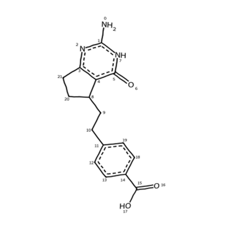 Nc1nc2c(c(=O)[nH]1)C(CCc1ccc(C(=O)O)cc1)CC2